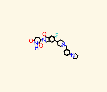 O=C1CCC(N2Cc3cc(C4CCN(Cc5cccc(N6CCCC6)c5)CC4)c(F)cc3C2=O)C(=O)N1